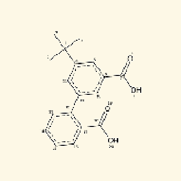 CC(C)(C)c1cc(C(=O)O)cc(-c2ccccc2C(=O)O)c1